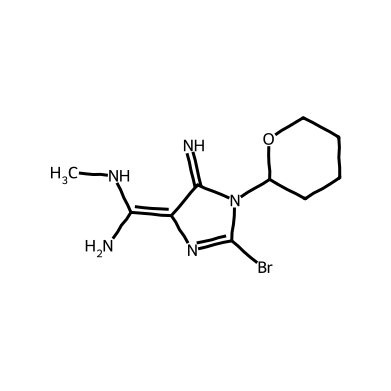 CN/C(N)=C1/N=C(Br)N(C2CCCCO2)C1=N